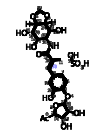 CC(=O)[C@H]1O[C@@H](Oc2ccc(/C=C(\C)C(=O)N[C@H]3[C@@H](O)[C@H](O)[C@@H]4OCO[C@@H]4[C@H]3O)cc2O)[C@@H](O)[C@@H]1O.O=S(=O)(O)O